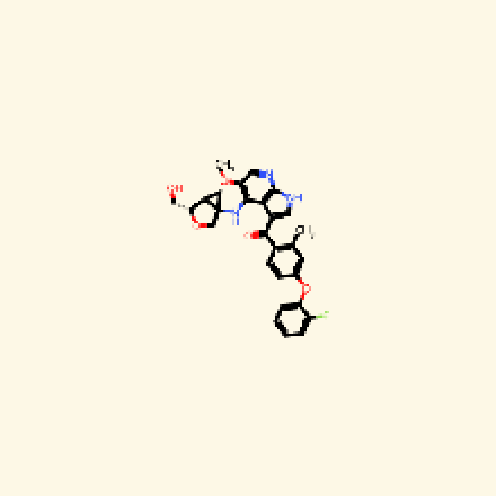 COc1cnc2[nH]cc(C(=O)c3ccc(Oc4ccccc4F)cc3C)c2c1N[C@@]12CO[C@H](CO)C1C2